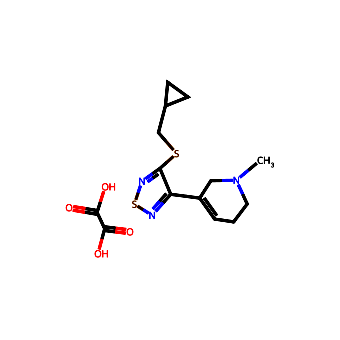 CN1CCC=C(c2nsnc2SCC2CC2)C1.O=C(O)C(=O)O